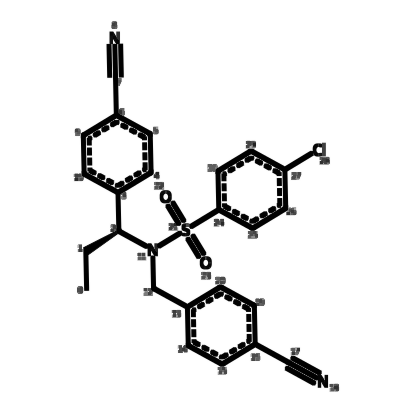 CC[C@@H](c1ccc(C#N)cc1)N(Cc1ccc(C#N)cc1)S(=O)(=O)c1ccc(Cl)cc1